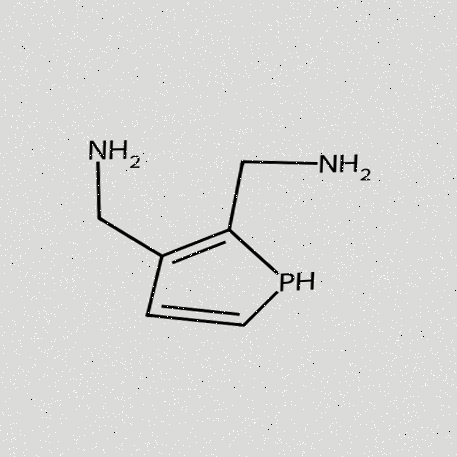 NCc1cc[pH]c1CN